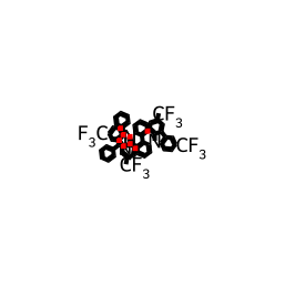 FC(F)(F)c1ccc2c(c1)c1cc(C(F)(F)F)ccc1n2-c1ccccc1-c1c(-c2nc(-c3ccccc3)cc(-c3ccccc3)n2)cccc1-n1c2ccc(C(F)(F)F)cc2c2cc(C(F)(F)F)ccc21